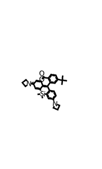 CC(C)(C)c1ccc(C(=O)[O-])c(C2=C3C=CC(=[N+]4CCC4)C=C3[Si](C)(C)c3cc(N4CCC4)ccc32)c1